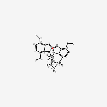 CCc1ccc(CC)c2c1C=C[CH]2[Hf]([CH3])([CH3])([CH]1C=Cc2c(CC)ccc(CC)c21)=[Si]1[SiH2][SiH2][SiH2]1